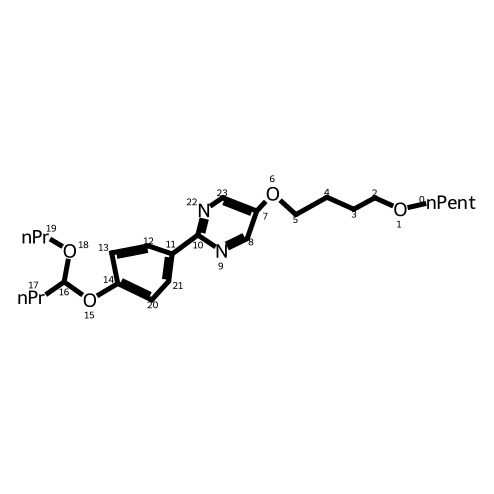 CCCCCOCCCCOc1cnc(-c2ccc(OC(CCC)OCCC)cc2)nc1